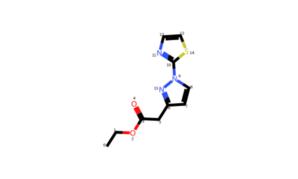 CCOC(=O)Cc1ccn(-c2nccs2)n1